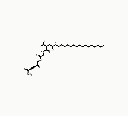 CCCCCCCCCCCCCCCCNC(=O)CC(C(C)=O)C(=S)NCC(=O)NCC(=O)C#CC(N)=O